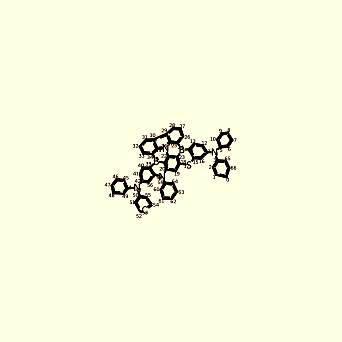 c1ccc(N(c2ccccc2)c2ccc3c(c2)Sc2cc4c5c6c2B3c2cccc3c7cccc(c7n-6c23)B5c2ccc(N(c3ccccc3)c3ccccc3)cc2N4c2ccccc2)cc1